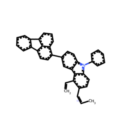 C=Cc1c(/C=C\C)ccc2c1c1cc(-c3ccc4c5c(cccc35)-c3ccccc3-4)ccc1n2-c1ccccc1